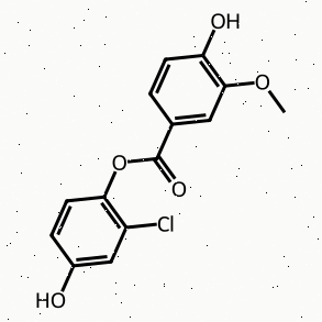 COc1cc(C(=O)Oc2ccc(O)cc2Cl)ccc1O